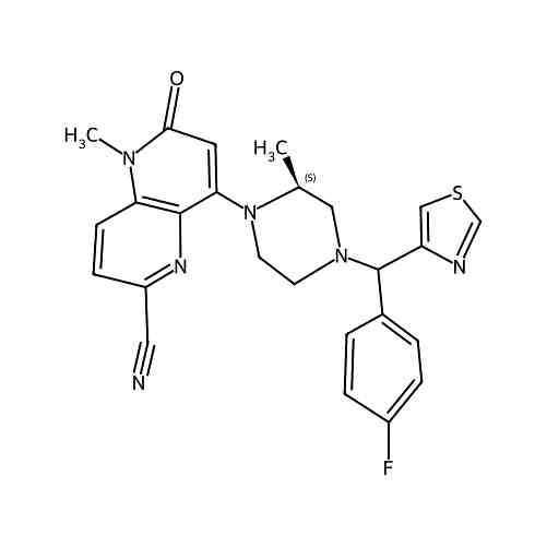 C[C@H]1CN(C(c2ccc(F)cc2)c2cscn2)CCN1c1cc(=O)n(C)c2ccc(C#N)nc12